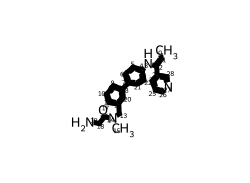 C/C=C(\Nc1ccc(-c2cccc(CN(C)C(=O)CN)c2)cc1)c1cccnc1